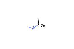 [CH2]CN.[Zn]